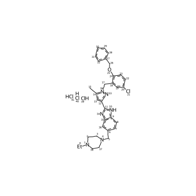 CCN1CCN(Cc2ccc3[nH]c(-c4cc(C)n(Cc5cc(Cl)ccc5OCc5ccccc5)n4)nc3c2)CC1.Cl.Cl.Cl